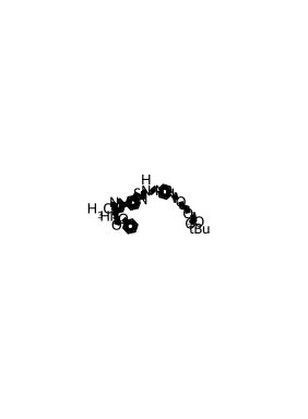 Cc1ncc(-c2ccc3nc(NCCN4CCN(CCOCCOCC(=O)OC(C)(C)C)CC4)sc3c2)cc1NC(=O)OC1CCCCC1